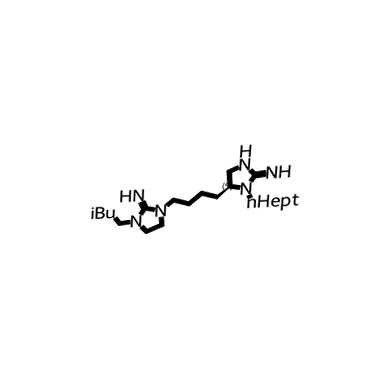 CCCCCCCN1C(=N)NC[C@@H]1CCCCN1CCN(CC(C)CC)C1=N